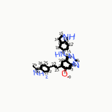 COc1cc2ncnc(Nc3ccc4[nH]ccc4c3)c2cc1C=Cc1ccc(C(C)N)cc1